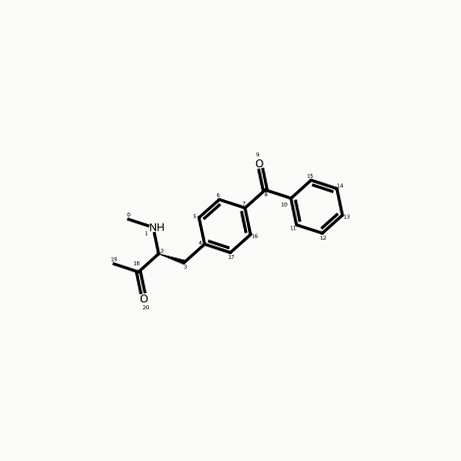 CN[C@@H](Cc1ccc(C(=O)c2ccccc2)cc1)C(C)=O